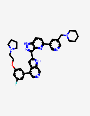 Fc1cc(OCCN2CCCC2)cc(-c2cncc3[nH]c(-c4n[nH]c5ccc(-c6cncc(CN7CCCCC7)c6)nc45)cc23)c1